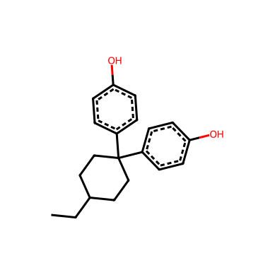 CCC1CCC(c2ccc(O)cc2)(c2ccc(O)cc2)CC1